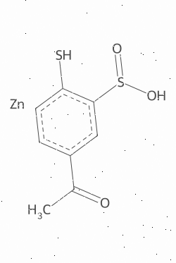 CC(=O)c1ccc(S)c(S(=O)O)c1.[Zn]